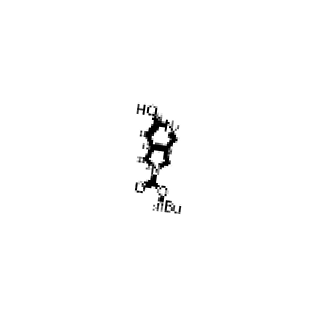 CCCCOC(=O)N1Cc2cnc(O)cc2C1